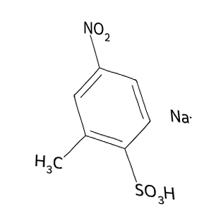 Cc1cc([N+](=O)[O-])ccc1S(=O)(=O)O.[Na]